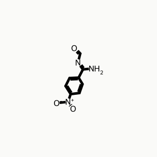 NC(=NC=O)c1ccc([N+](=O)[O-])cc1